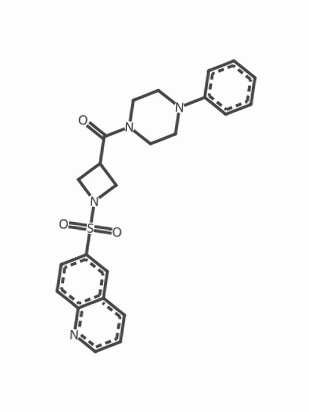 O=C(C1CN(S(=O)(=O)c2ccc3ncccc3c2)C1)N1CCN(c2ccccc2)CC1